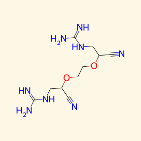 N#CC(CNC(=N)N)OCCOC(C#N)CNC(=N)N